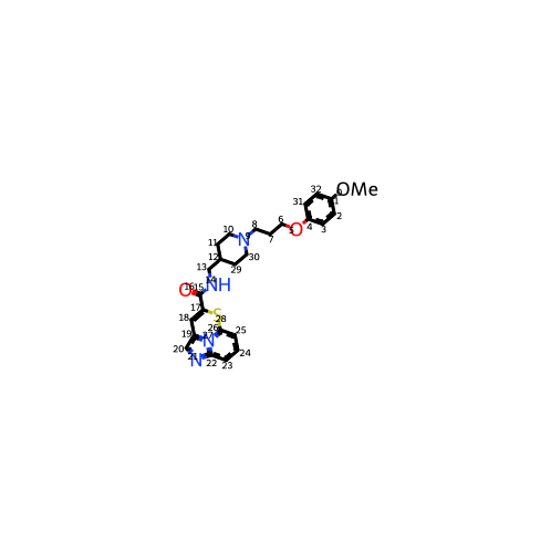 COc1ccc(OCCCN2CCC(CNC(=O)C3=Cc4cnc5cccc(n45)S3)CC2)cc1